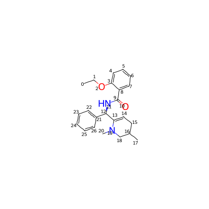 CCOc1ccccc1C(=O)N[C@@H](C1=CCC(C)CN1C)c1ccccc1